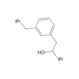 CC(C)Cc1cccc(CC(O)C(C)C)c1